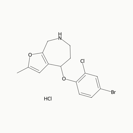 Cc1cc2c(o1)CNCCC2Oc1ccc(Br)cc1Cl.Cl